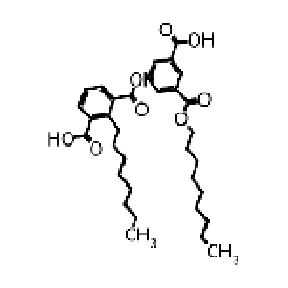 CCCCCCCCCOC(=O)c1cccc(C(=O)O)c1.CCCCCCCCc1c(C(=O)O)cccc1C(=O)O